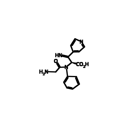 N=C(c1ccncc1)[C@@H](C(=O)O)N(C(=O)CN)c1ccccc1